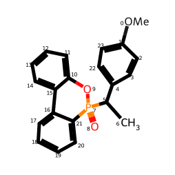 COc1ccc(C(C)P2(=O)Oc3ccccc3-c3ccccc32)cc1